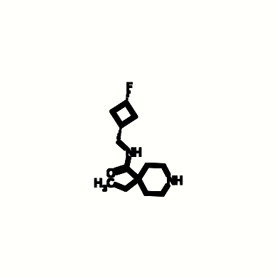 CCC1(C(=O)NC[C@H]2C[C@@H](F)C2)CCNCC1